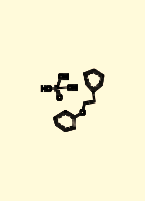 C(=C\c1ccccc1)/Oc1ccccc1.O=P(O)(O)O